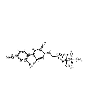 CCOC(=O)C(C)(CCCC[C@H]1C=C(F)C(c2ccc(OC)cc2F)=CC1=O)S(C)(=O)=O